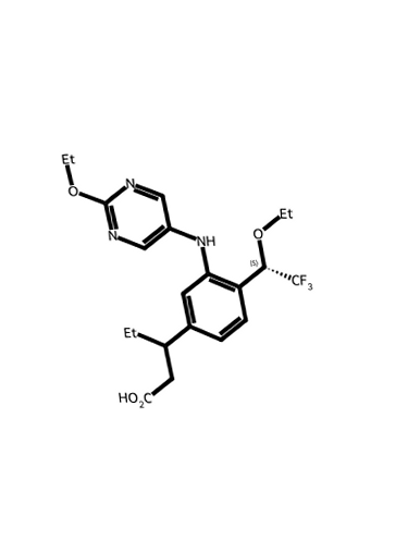 CCOc1ncc(Nc2cc(C(CC)CC(=O)O)ccc2[C@H](OCC)C(F)(F)F)cn1